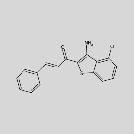 Nc1c(C(=O)C=Cc2ccccc2)sc2cccc(Cl)c12